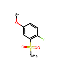 CCOc1ccc(F)c(S(=O)(=O)NC)c1